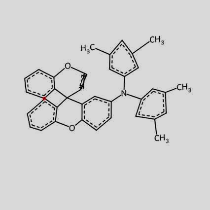 Cc1cc(C)cc(N(c2cc(C)cc(C)c2)c2ccc3c(c2)C2(c4ccccc4Oc4ccccc42)c2ccccc2O3)c1